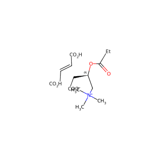 CCC(=O)O[C@H](CC(=O)[O-])C[N+](C)(C)C.O=C(O)C=CC(=O)O